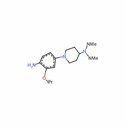 CNN(NC)C1CCN(c2ccc(N)c(OC(C)C)c2)CC1